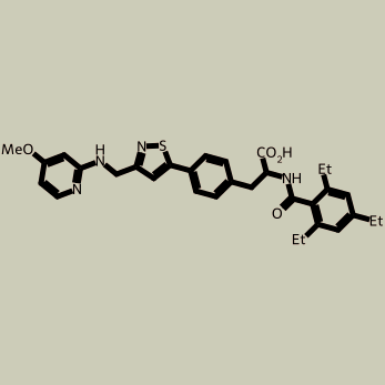 CCc1cc(CC)c(C(=O)NC(Cc2ccc(-c3cc(CNc4cc(OC)ccn4)ns3)cc2)C(=O)O)c(CC)c1